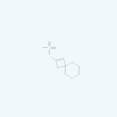 O=S(=O)(OC1=CC2(CCCCC2)C1)C(F)(F)F